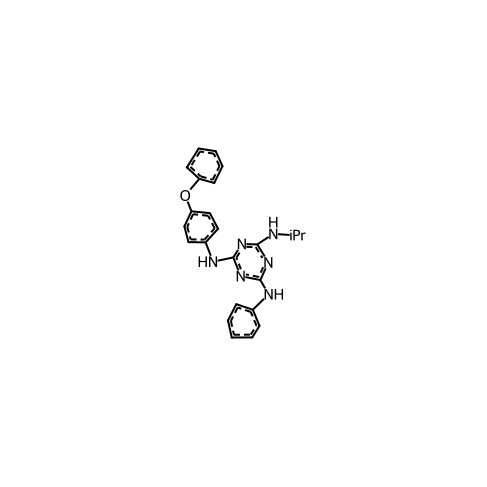 CC(C)Nc1nc(Nc2ccccc2)nc(Nc2ccc(Oc3ccccc3)cc2)n1